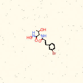 C[C@@H](O)[C@H](NC(=O)/C=C/c1cccc(Br)c1)C(=O)NO